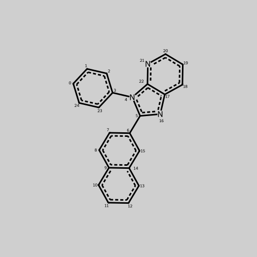 c1ccc(-n2c(-c3ccc4ccccc4c3)nc3cccnc32)cc1